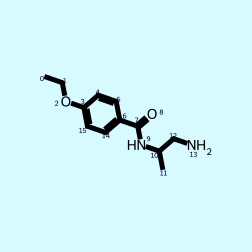 CCOc1ccc(C(=O)NC(C)CN)cc1